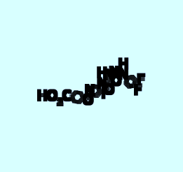 O=C(Nc1cnc(O[C@H]2CC[C@@H](C(=O)O)CC2)cc1F)c1nnc(Nc2ccc(F)c(F)c2)o1